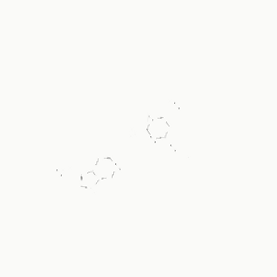 CN(C)Cc1csc2cnc(CCSc3nc(N)cc(C#N)n3)cc12